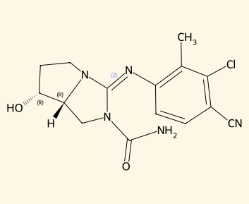 Cc1c(/N=C2\N(C(N)=O)C[C@@H]3[C@H](O)CCN23)ccc(C#N)c1Cl